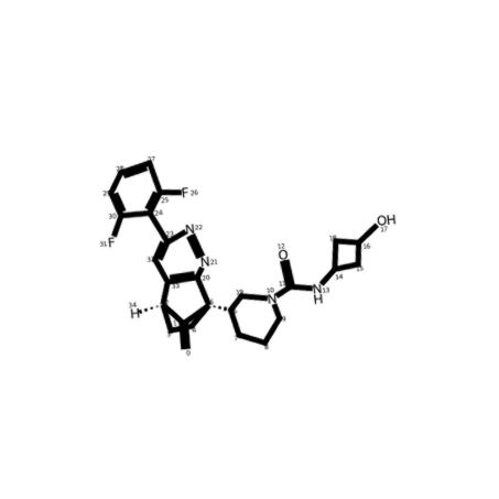 C=C1[C@H]2CC[C@]1(C1CCCN(C(=O)NC3CC(O)C3)C1)c1nnc(-c3c(F)cccc3F)cc12